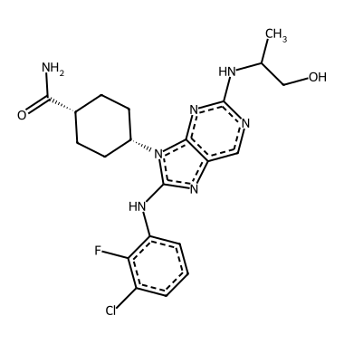 CC(CO)Nc1ncc2nc(Nc3cccc(Cl)c3F)n([C@H]3CC[C@@H](C(N)=O)CC3)c2n1